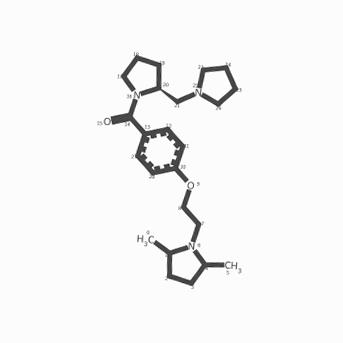 CC1CCC(C)N1CCOc1ccc(C(=O)N2CCC[C@H]2CN2CCCC2)cc1